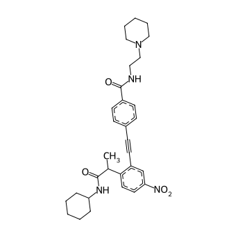 CC(C(=O)NC1CCCCC1)c1ccc([N+](=O)[O-])cc1C#Cc1ccc(C(=O)NCCN2CCCCC2)cc1